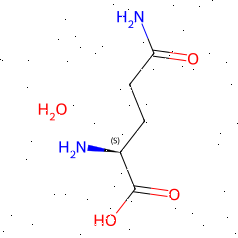 NC(=O)CC[C@H](N)C(=O)O.O